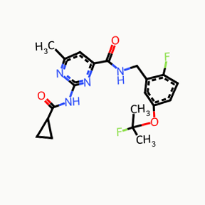 Cc1cc(C(=O)NCc2cc(OC(C)(C)F)ccc2F)nc(NC(=O)C2CC2)n1